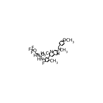 COc1ccc(CN(C)c2cc3nc(C)c(-c4cc(NC(=O)NCCOC(F)(F)F)c(F)cc4C)cc3cn2)cc1